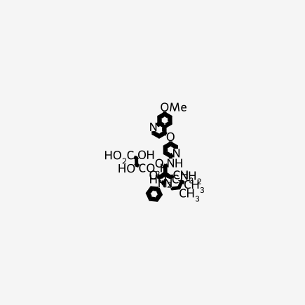 COc1ccc2c(Oc3ccc(NC(=O)c4c(C)n(C[C@@H](C)[C@](C)(N)C(=O)O)n(-c5ccccc5)c4=O)nc3)ccnc2c1.O=C(O)C(O)C(O)C(=O)O